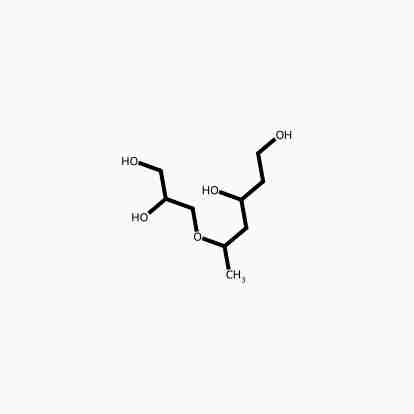 CC(CC(O)CCO)OCC(O)CO